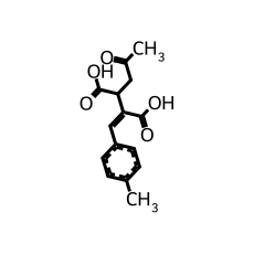 CC(=O)CC(C(=O)O)C(=Cc1ccc(C)cc1)C(=O)O